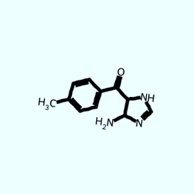 Cc1ccc(C(=O)C2NC=NC2N)cc1